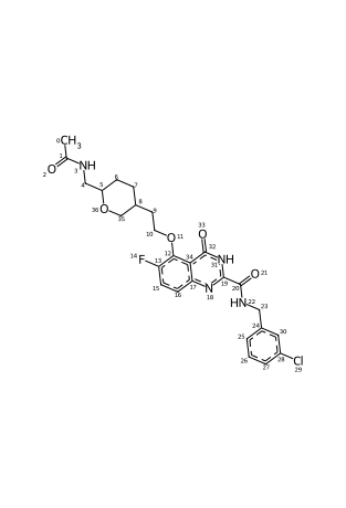 CC(=O)NCC1CCC(CCOc2c(F)ccc3nc(C(=O)NCc4cccc(Cl)c4)[nH]c(=O)c23)CO1